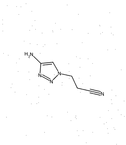 N#CCCn1cc(N)nn1